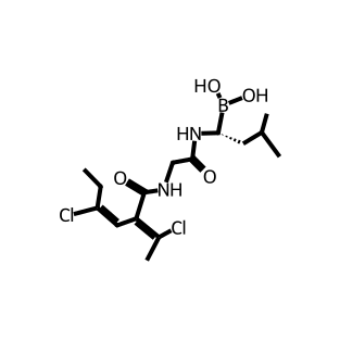 CC/C(Cl)=C\C(C(=O)NCC(=O)N[C@@H](CC(C)C)B(O)O)=C(/C)Cl